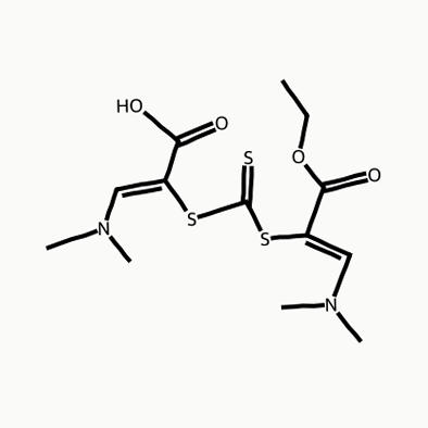 CCOC(=O)/C(=C/N(C)C)SC(=S)S/C(=C\N(C)C)C(=O)O